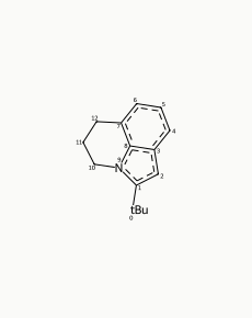 CC(C)(C)c1cc2cccc3c2n1CCC3